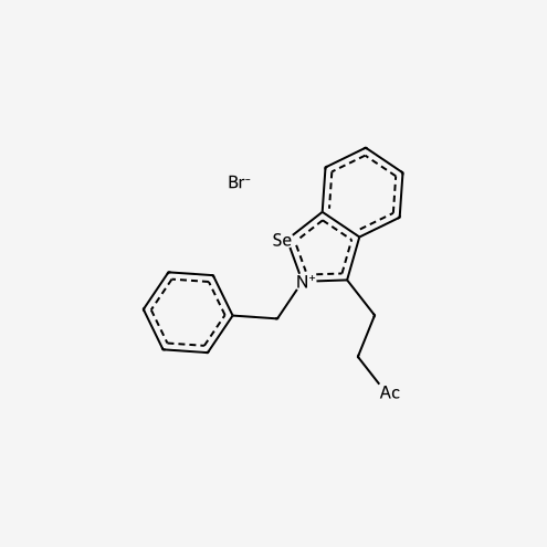 CC(=O)CCc1c2ccccc2[se][n+]1Cc1ccccc1.[Br-]